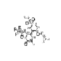 CCS(=O)(=O)c1ccc(OCC2CC2)c(-c2cn(C)c(=O)c3oc(C(F)(F)F)cc23)c1